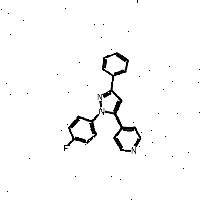 Fc1ccc(-n2nc(-c3ccccc3)cc2-c2ccncc2)cc1